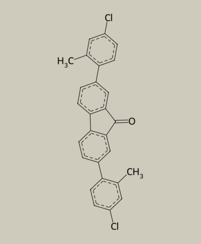 Cc1cc(Cl)ccc1-c1ccc2c(c1)C(=O)c1cc(-c3ccc(Cl)cc3C)ccc1-2